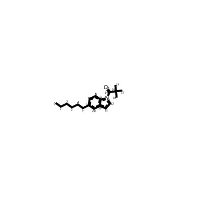 CCCCCCc1ccc2c(ccn2C(=O)C(C)(C)C)c1